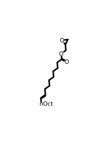 CCCCCCCCC=CCCCCCCCC(=O)OCC1CO1